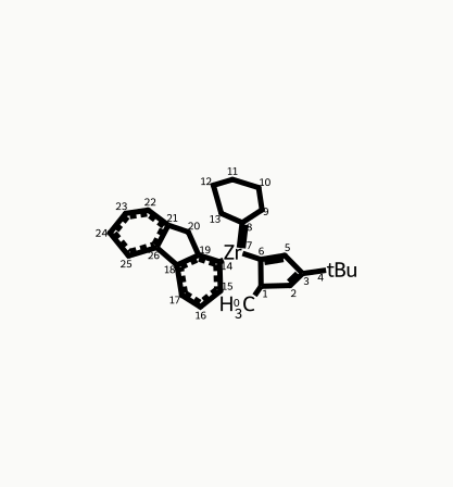 CC1C=C(C(C)(C)C)C=[C]1[Zr](=[C]1CCCCC1)[c]1cccc2c1Cc1ccccc1-2